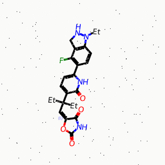 CCN1NCc2c1ccc(-c1ccc(C(/C=C3/OC(=O)NC3=O)(CC)CC)c(=O)[nH]1)c2F